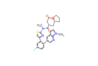 CN(C(=O)C(CC(=O)O)CC1CCCC1)c1nc(-c2cc(F)ccc2-c2cnc3c(ccn3C)c2)cs1